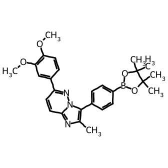 COc1ccc(-c2ccc3nc(C)c(-c4ccc(B5OC(C)(C)C(C)(C)O5)cc4)n3n2)cc1OC